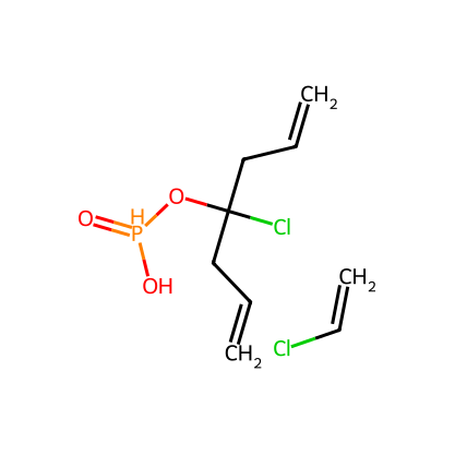 C=CCC(Cl)(CC=C)O[PH](=O)O.C=CCl